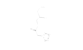 COCC(O)COC(=O)Cn1cnnn1